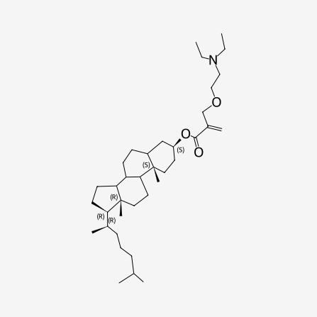 C=C(COCCN(CC)CC)C(=O)O[C@H]1CC[C@@]2(C)C(CCC3C2CC[C@@]2(C)C3CC[C@@H]2[C@H](C)CCCC(C)C)C1